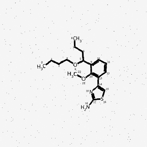 CCCCOC(CCC)c1cccc(-c2csc(N)n2)c1OC